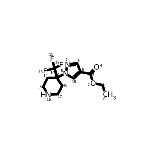 CCOC(=O)c1cnn(C2(C(F)(F)F)CCNCC2)c1